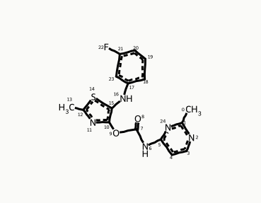 Cc1nccc(NC(=O)Oc2nc(C)sc2Nc2cccc(F)c2)n1